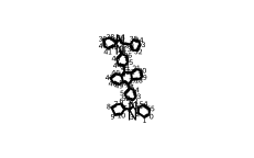 C1=CC2N=C(c3ccccc3)N(c3ccc(-c4c5ccccc5c(-c5ccc(-n6c(-c7ccccc7)nc7ccccc76)cc5)c5ccccc45)cc3)C2C=C1